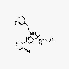 COCCNC(=O)c1ccc(-c2ccccc2C#N)nc1NCCc1cccc(F)c1